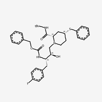 CC(C)(C)NC(=O)[C@@H]1C[C@H](Sc2ccccc2)CCN1C[C@@H](O)[C@H](Cc1ccc(F)cc1)NC(=O)OCc1ccccc1